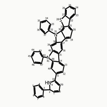 C1=CC(c2ccccc2)NC(c2ccc3c4cc5c6ccc7c8ccccc8sc7c6n(-c6ccccc6)c5cc4n(-c4ccccc4)c3c2)=C1